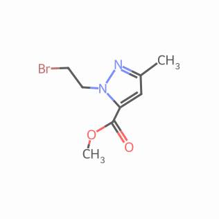 COC(=O)c1cc(C)nn1CCBr